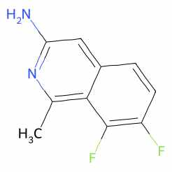 Cc1nc(N)cc2ccc(F)c(F)c12